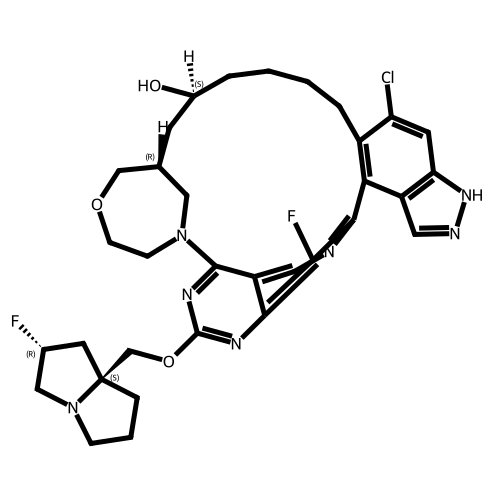 O[C@H]1CCCCc2c(Cl)cc3[nH]ncc3c2-c2ncc3c(nc(OC[C@@]45CCCN4C[C@H](F)C5)nc3c2F)N2CCOC[C@H](C1)C2